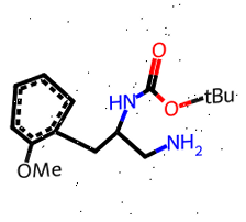 COc1ccccc1CC(CN)NC(=O)OC(C)(C)C